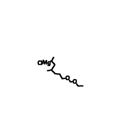 CCOCOCCCC(C)C[CH](C)[Mg][Cl]